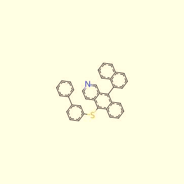 c1ccc(-c2cccc(Sc3c4ccccc4c(-c4cccc5ccccc45)c4cnccc34)c2)cc1